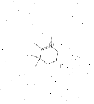 CC1=[N+](C)CCCC1(C)C.[I-]